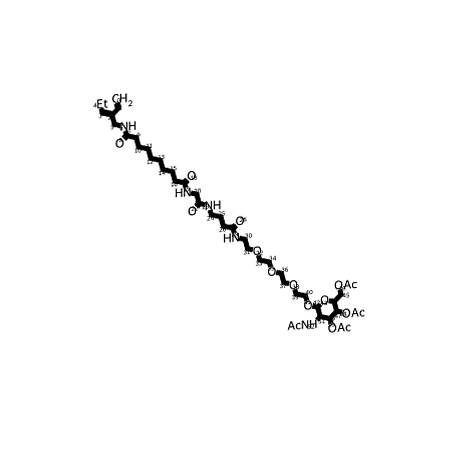 C=C/C(=C\CC)CNC(=O)CCCCCCCCC(=O)NCC(=O)NCCCC(=O)NCCOCCOCCOCCOC1OC(COC(C)=O)C(OC(C)=O)C(OC(C)=O)C1NC(C)=O